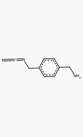 [N-]=[N+]=NCc1ccc(CN)cc1